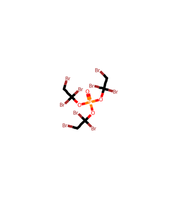 O=P(OC(Br)(Br)CBr)(OC(Br)(Br)CBr)OC(Br)(Br)CBr